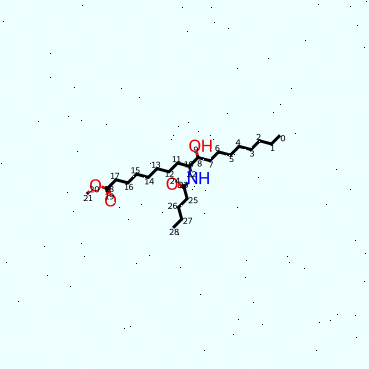 CCCCCCCCC(O)C(CCCCCCCC(=O)OC)NC(=O)CCCC